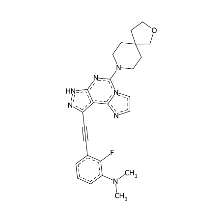 CN(C)c1cccc(C#Cc2n[nH]c3nc(N4CCC5(CCOC5)CC4)n4ccnc4c23)c1F